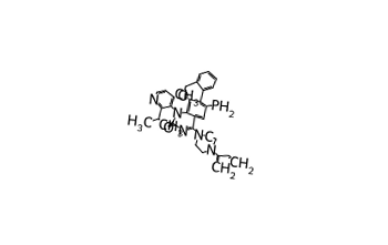 C=CC(=C)N1CCN(c2nc(=O)n(-c3c(C)ccnc3C(C)C)c3c4c(c(P)cc23)-c2ccccc2CO4)CC1